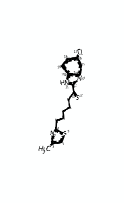 Cc1csc(CCCCCC(=S)c2nc3cc(Cl)ccc3[nH]2)n1